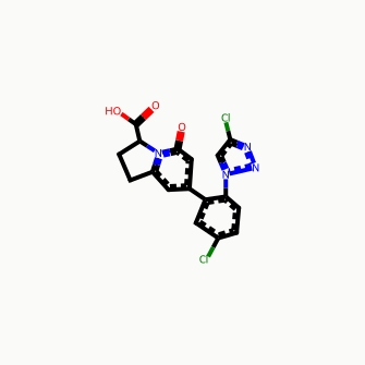 O=C(O)C1CCc2cc(-c3cc(Cl)ccc3-n3cc(Cl)nn3)cc(=O)n21